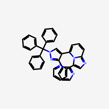 c1ccc(C(c2ccccc2)(c2ccccc2)n2cc(-c3cccc4ncc(-c5ccccn5)n34)c(-c3cccnc3)n2)cc1